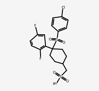 CC(C)S(=O)(=O)CC1CCC(c2cc(F)ccc2F)(S(=O)(=O)c2ccc(Cl)cc2)CC1